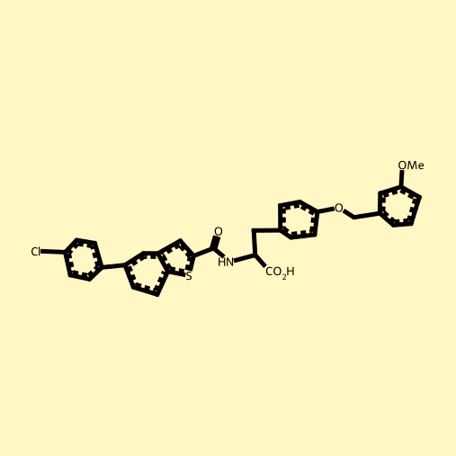 COc1cccc(COc2ccc(CC(NC(=O)c3cc4cc(-c5ccc(Cl)cc5)ccc4s3)C(=O)O)cc2)c1